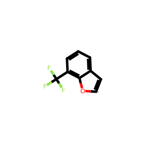 FC(F)(F)c1cccc2c[c]oc12